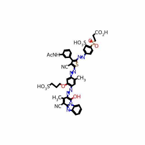 CC(=O)Nc1cccc(-c2c(N=Nc3ccc(S(=O)(=O)CCC(=O)O)c(S(=O)(=O)O)c3)sc(N=Nc3cc(OCCCS(=O)(=O)O)c(N=Nc4c(C)c(C#N)c5nc6ccccc6n5c4O)cc3C)c2C#N)c1